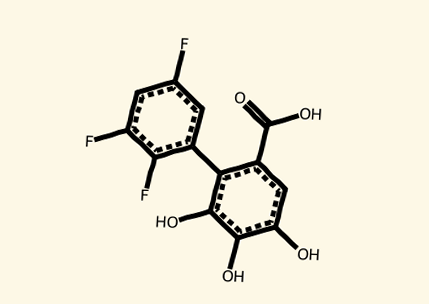 O=C(O)c1cc(O)c(O)c(O)c1-c1cc(F)cc(F)c1F